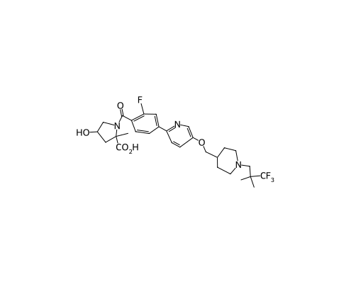 CC1(C(=O)O)CC(O)CN1C(=O)c1ccc(-c2ccc(OCC3CCN(CC(C)(C)C(F)(F)F)CC3)cn2)cc1F